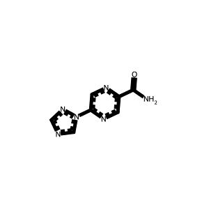 NC(=O)c1cnc(-n2cncn2)cn1